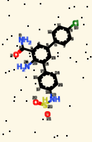 NC(=O)c1cc(-c2ccc(Cl)cc2)cc(-c2ccc(N[SH](=O)=O)cc2)c1N